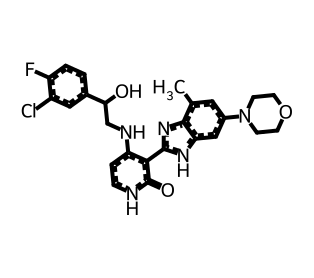 Cc1cc(N2CCOCC2)cc2[nH]c(-c3c(NCC(O)c4ccc(F)c(Cl)c4)cc[nH]c3=O)nc12